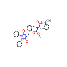 CC(C)(C)OC(=O)N(Cc1cccc(Cn2c(=O)n(-c3ccccc3)n(-c3ccccc3)c2=O)c1)[C@H](Cc1cccc(C#N)c1)C(N)=O